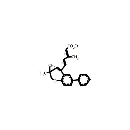 CCOC(=O)/C=C(C)/C=C/C1=CC(C)(C)COc2ccc(-c3ccccc3)cc21